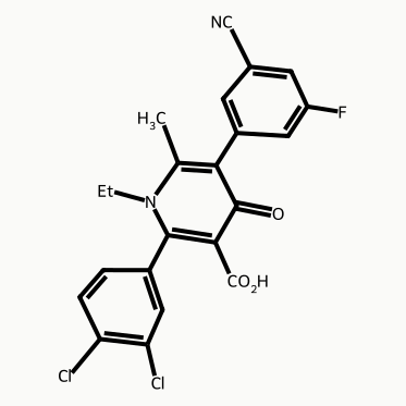 CCn1c(C)c(-c2cc(F)cc(C#N)c2)c(=O)c(C(=O)O)c1-c1ccc(Cl)c(Cl)c1